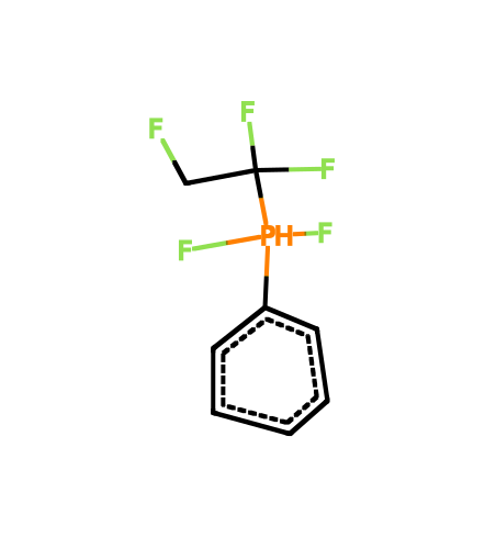 FCC(F)(F)[PH](F)(F)c1ccccc1